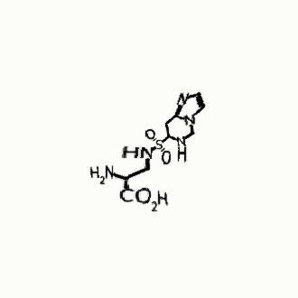 N[C@@H](CNS(=O)(=O)C1Cc2nccn2CN1)C(=O)O